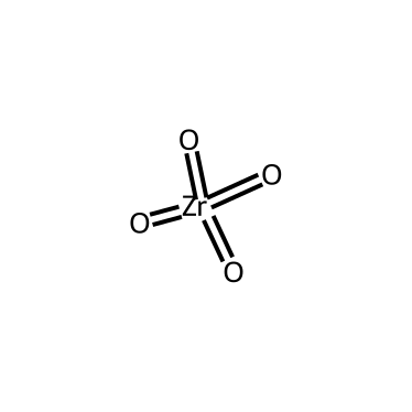 [O]=[Zr](=[O])(=[O])=[O]